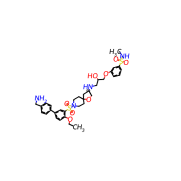 CCOc1ccc(-c2ccc(CN)cc2)cc1S(=O)(=O)N1CCC2(CC1)C[C@@H](NCC(O)COc1cccc(S(=O)(=O)NC)c1)CO2